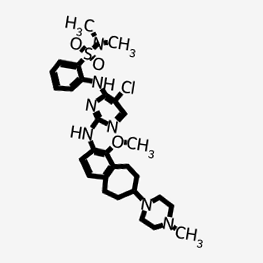 COc1c(Nc2ncc(Cl)c(Nc3ccccc3S(=O)(=O)N(C)C)n2)ccc2c1CCC(N1CCN(C)CC1)CC2